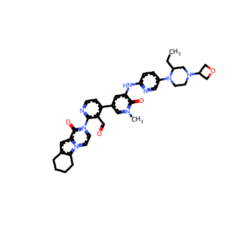 CCC1CN(C2COC2)CCN1c1ccc(Nc2cc(-c3ccnc(-n4ccn5c6c(cc5c4=O)CCCC6)c3C=O)cn(C)c2=O)nc1